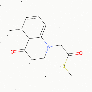 CSC(=O)CN1CCC(=O)C2C1=CC=CC2C